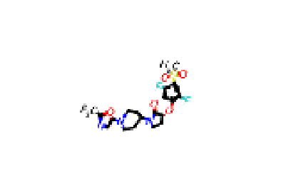 CS(=O)(=O)c1cc(F)c(OC2CCN(C3CCN(c4cnc(C(F)(F)F)o4)CC3)C2=O)cc1F